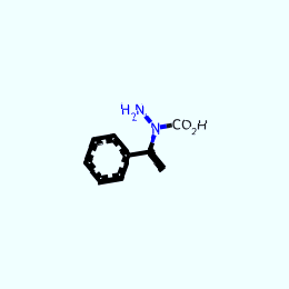 C=C(c1ccccc1)N(N)C(=O)O